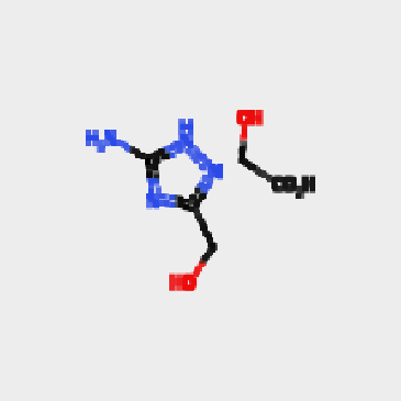 Nc1nc(CO)n[nH]1.O=C(O)CO